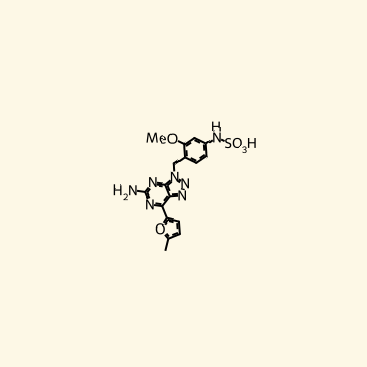 COc1cc(NS(=O)(=O)O)ccc1Cn1nnc2c(-c3ccc(C)o3)nc(N)nc21